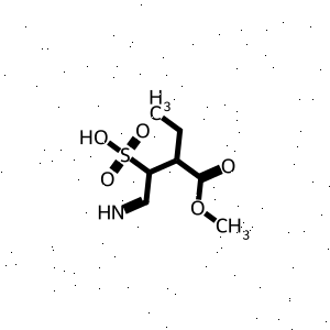 CCC(C(=O)OC)C(C=N)S(=O)(=O)O